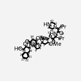 CC[C@H](C)[C@@H](C(CC(=O)N1CCC[C@H]1[C@H](OC)[C@@H](C)C(=O)N[C@@H](Cc1ccccc1)C(C=O)CO)OC)N(C)C(=O)[C@@H](NC(=O)[C@H](C(C)C)N1CCNCC1)C(C)C